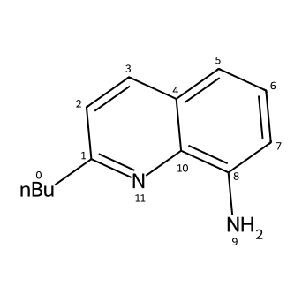 CCCCc1ccc2cccc(N)c2n1